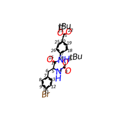 CC(C)(C)OC(=O)NC(Cc1ccc(Br)cc1)C(=O)Nc1ccc(C(=O)OC(C)(C)C)cc1